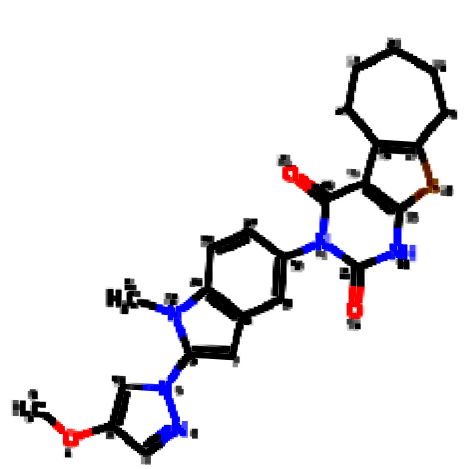 COc1cnn(-c2cc3cc(-n4c(=O)[nH]c5sc6c(c5c4=O)CCCCC6)ccc3n2C)c1